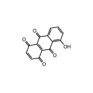 O=c1ccc(=O)c2c(=O)c3c(O)cccc3c(=O)c1=2